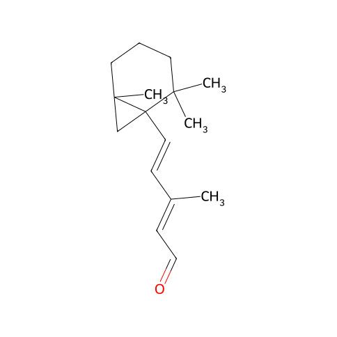 C/C(C=CC12CC1(C)CCCC2(C)C)=C\C=O